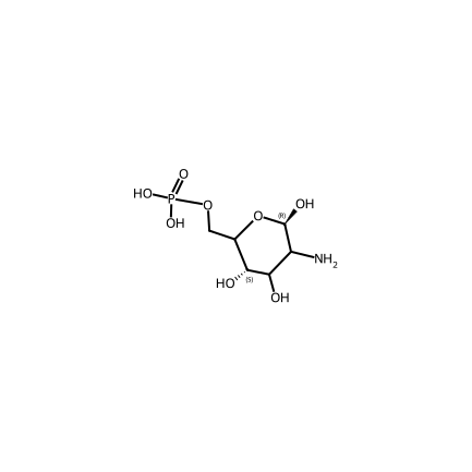 NC1C(O)[C@H](O)C(COP(=O)(O)O)O[C@H]1O